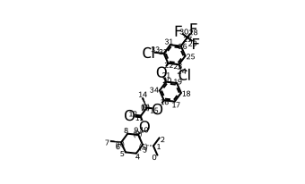 CC(C)[C@@H]1CC[C@@H](C)C[C@H]1OC(=O)[C@@H](C)Oc1cccc(Oc2c(Cl)cc(C(F)(F)F)cc2Cl)c1